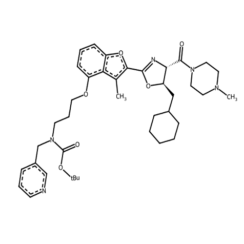 Cc1c(C2=N[C@H](C(=O)N3CCN(C)CC3)[C@@H](CC3CCCCC3)O2)oc2cccc(OCCCN(Cc3cccnc3)C(=O)OC(C)(C)C)c12